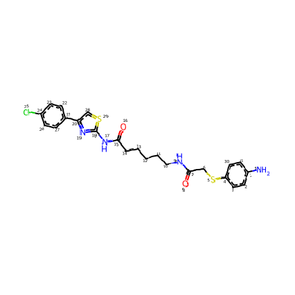 Nc1ccc(SCC(=O)NCCCCCC(=O)Nc2nc(-c3ccc(Cl)cc3)cs2)cc1